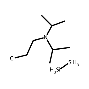 CC(C)N(CCCl)C(C)C.[SiH3][SiH3]